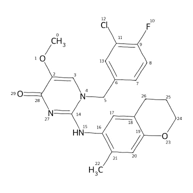 COc1cn(Cc2ccc(F)c(Cl)c2)c(Nc2cc3c(cc2C)OCCC3)nc1=O